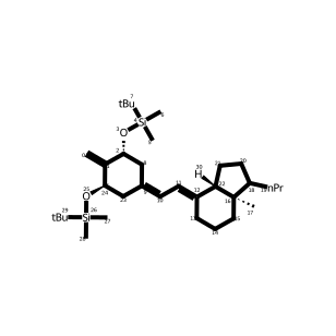 C=C1[C@H](O[Si](C)(C)C(C)(C)C)CC(=C/C=C2\CCC[C@]3(C)C(CCC)CC[C@@H]23)C[C@H]1O[Si](C)(C)C(C)(C)C